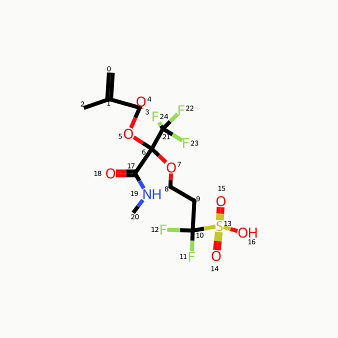 C=C(C)C(=O)OC(OCCC(F)(F)S(=O)(=O)O)(C(=O)NC)C(F)(F)F